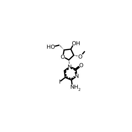 CO[C@H]1C(O)[C@@H](CO)O[C@H]1n1cc(I)c(N)nc1=O